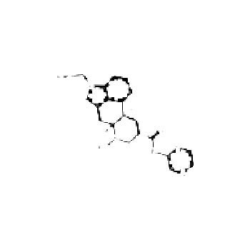 COCn1cc2c3c(cccc31)[C@H]1C[C@@H](C(=O)Nc3cnccn3)CN(C)[C@@H]1C2